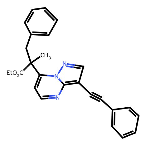 CCOC(=O)C(C)(Cc1ccccc1)c1ccnc2c(C#Cc3ccccc3)cnn12